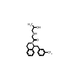 CC(O)CNCC(=O)N1CCc2ccccc2C1Cc1cccc(C(F)(F)F)c1